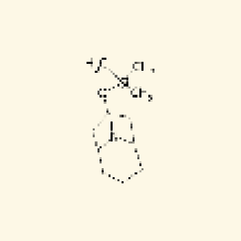 C[Si](C)(C)OC1CC2CCCC(C1)N2